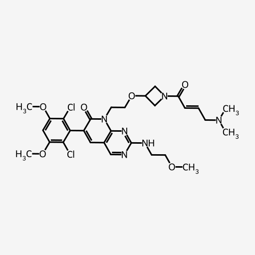 COCCNc1ncc2cc(-c3c(Cl)c(OC)cc(OC)c3Cl)c(=O)n(CCOC3CN(C(=O)C=CCN(C)C)C3)c2n1